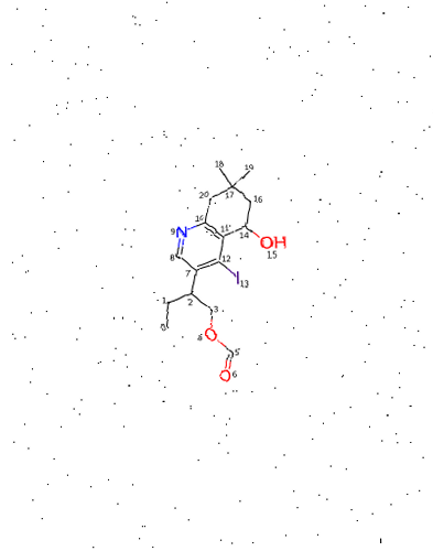 CCC(COC=O)c1cnc2c(c1I)C(O)CC(C)(C)C2